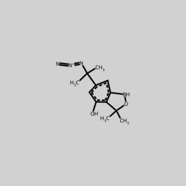 CC(C)(N=[N+]=[N-])c1cc(O)c2c(c1)BOC2(C)C